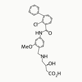 COc1cc(NC(=O)c2cccc(-c3ccccc3)c2Cl)ccc1CNC[C@@H](O)CC(=O)O